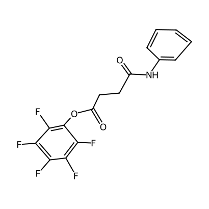 O=C(CCC(=O)Oc1c(F)c(F)c(F)c(F)c1F)Nc1ccccc1